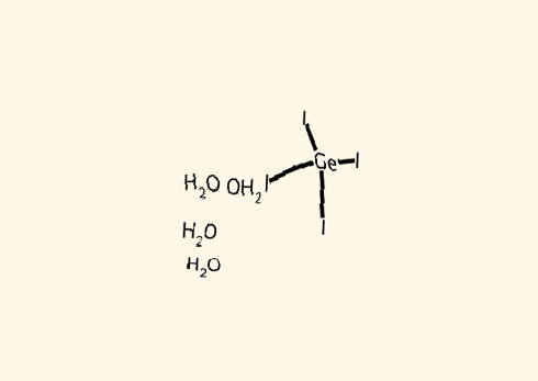 O.O.O.O.[I][Ge]([I])([I])[I]